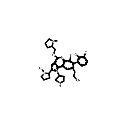 CC(=O)N1CCCC1c1cc2c(OCC3CCCN3C)nc3c(F)c(-c4cccc(Cl)c4Cl)c(CCC#N)cc3c2n1C1CCNC1